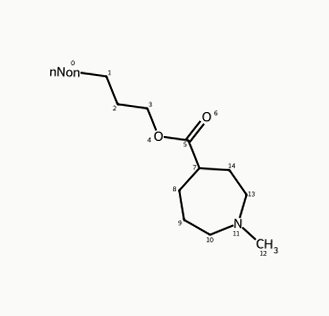 CCCCCCCCCCCCOC(=O)C1CCCN(C)CC1